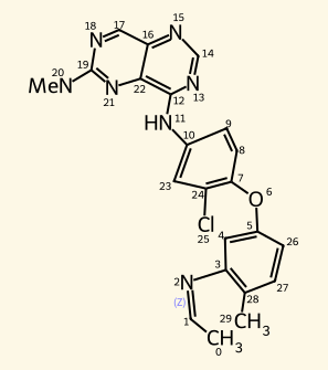 C/C=N\c1cc(Oc2ccc(Nc3ncnc4cnc(NC)nc34)cc2Cl)ccc1C